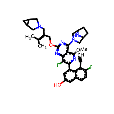 C#Cc1c(F)ccc2cc(O)cc(-c3nc(OC)c4c(N5CC6CCC(C5)N6)nc(OCC(CN5CC6CC6C5)=C(C)C)nc4c3F)c12